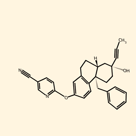 CC#C[C@@]1(O)CC[C@@]2(Cc3ccccc3)c3ccc(Oc4ccc(C#N)cn4)cc3CC[C@@H]2C1